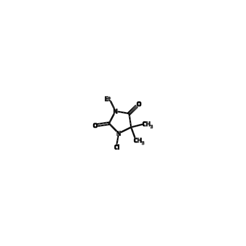 CCN1C(=O)N(Cl)C(C)(C)C1=O